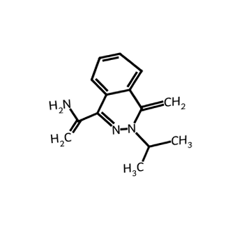 C=C(N)C1=NN(C(C)C)C(=C)c2ccccc21